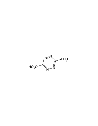 O=C(O)c1cnc(C(=O)O)nn1